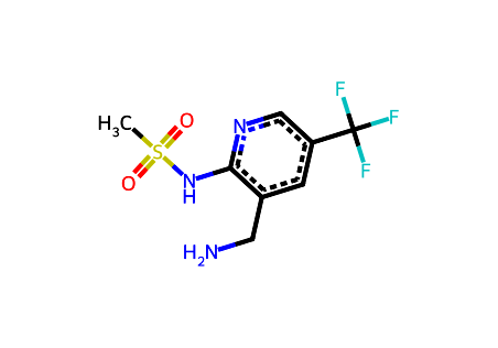 CS(=O)(=O)Nc1ncc(C(F)(F)F)cc1CN